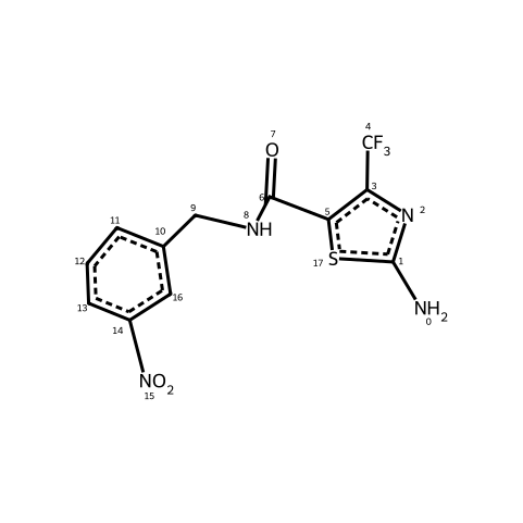 Nc1nc(C(F)(F)F)c(C(=O)NCc2cccc([N+](=O)[O-])c2)s1